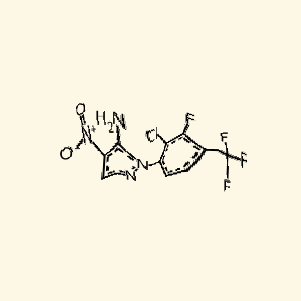 Nc1c([N+](=O)[O-])cnn1-c1ccc(C(F)(F)F)c(F)c1Cl